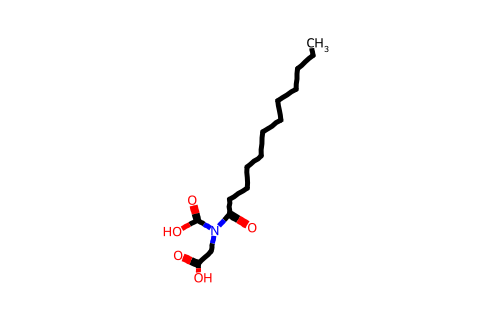 CCCCCCCCCCCC(=O)N(CC(=O)O)C(=O)O